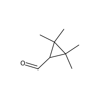 CC1(C)C([C]=O)C1(C)C